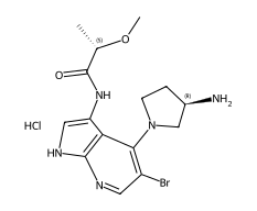 CO[C@@H](C)C(=O)Nc1c[nH]c2ncc(Br)c(N3CC[C@@H](N)C3)c12.Cl